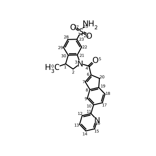 CC1CN(C(=O)C2=Cc3cc(-c4ccccn4)ccc3C2)c2cc(S(N)(=O)=O)ccc21